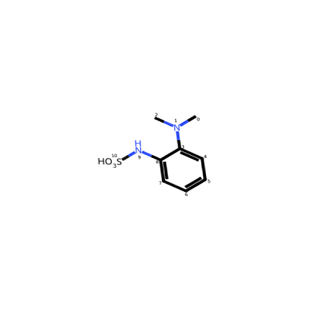 CN(C)c1ccccc1NS(=O)(=O)O